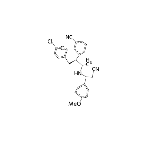 COc1ccc(C(CC#N)N[C@@H](C)[C@@H](Cc2ccc(Cl)cc2)c2cccc(C#N)c2)cc1